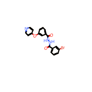 O=C(NNC(=O)c1cccc(Oc2ccncc2)c1)c1cccc(Br)c1